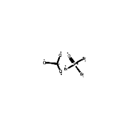 ClC(Cl)Cl.O=P(Br)(Br)Br